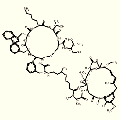 COc1cc2cc(c1Cl)N(C)C(=O)C[C@H](OC(=O)[C@H](C)N(C)C(=O)CCSSC(C)CCN[C@H](Cc1ccccc1)C(=O)N[C@H]1CSSC[C@@H](C(=O)N[C@H](CO)[C@@H](C)O)NC(=O)[C@H]([C@@H](C)O)NC(=O)[C@H](CCCCN)NC(=O)[C@@H](Cc3c[nH]c4ccccc34)NC(=O)[C@H](Cc3ccccc3)NC1=O)[C@]1(C)O[C@H]1[C@H](C)[C@@H]1CC(I)(NC(=O)O1)[C@H](OC)/C=C/C=C(\C)C2